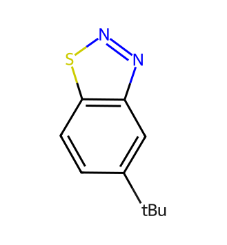 CC(C)(C)c1ccc2snnc2c1